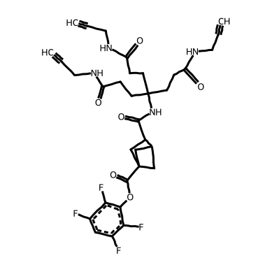 C#CCNC(=O)CCC(CCC(=O)NCC#C)(CCC(=O)NCC#C)NC(=O)C1CC2(C(=O)Oc3c(F)c(F)cc(F)c3F)CC1C2